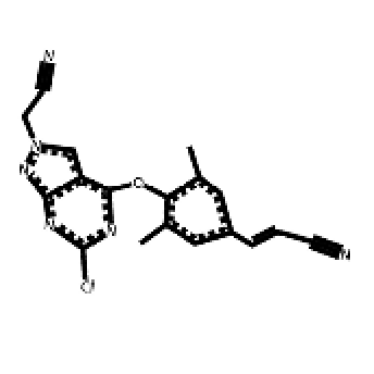 Cc1cc(/C=C/C#N)cc(C)c1Oc1nc(Cl)nc2nn(CC#N)cc12